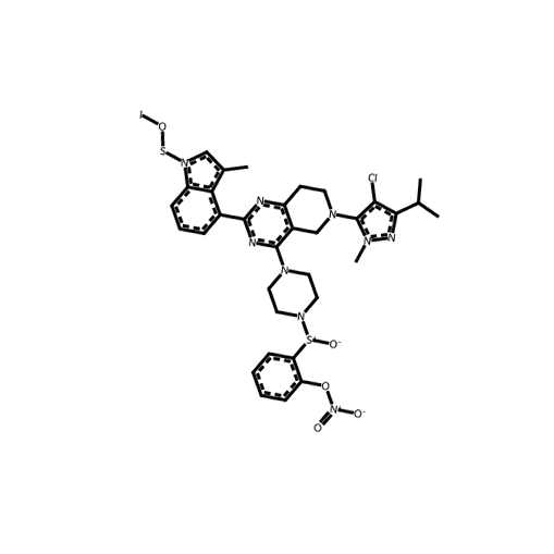 Cc1cn(SOI)c2cccc(-c3nc4c(c(N5CCN([S+]([O-])c6ccccc6O[N+](=O)[O-])CC5)n3)CN(c3c(Cl)c(C(C)C)nn3C)CC4)c12